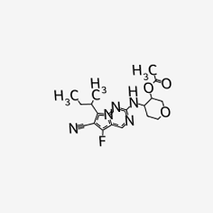 CCC(C)c1c(C#N)c(F)c2cnc(NC3CCOCC3OC(C)=O)nn12